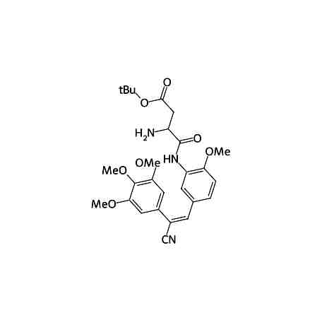 COc1ccc(C=C(C#N)c2cc(OC)c(OC)c(OC)c2)cc1NC(=O)C(N)CC(=O)OC(C)(C)C